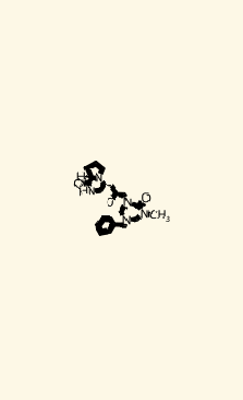 CN1CN(Cc2ccccc2)CN(CC(=O)C[C@@H]2CNC(=O)[C@@H]3CCCN23)C1=O